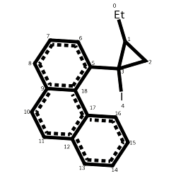 CCC1CC1(I)c1cccc2ccc3ccccc3c12